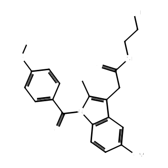 COc1ccc2c(c1)c(CC(=O)NCCO)c(C)n2C(=O)c1ccc(OC(F)(F)F)cc1